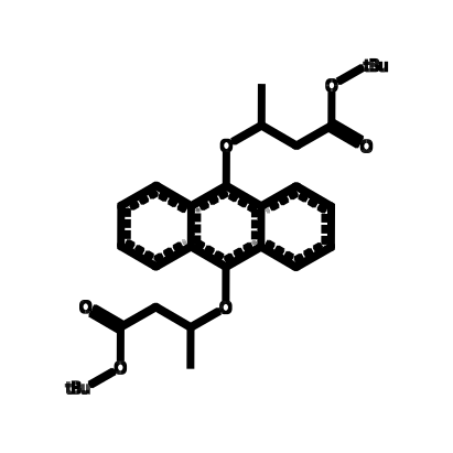 CC(CC(=O)OC(C)(C)C)Oc1c2ccccc2c(OC(C)CC(=O)OC(C)(C)C)c2ccccc12